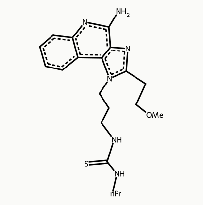 CCCNC(=S)NCCCn1c(CCOC)nc2c(N)nc3ccccc3c21